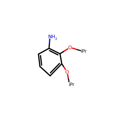 CC(C)Oc1cccc(N)c1OC(C)C